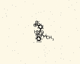 CCCCn1c(NC(=O)c2cccc([N+](=O)[O-])c2)nc2ccccc21